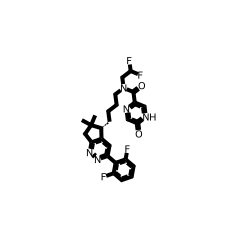 CC1(C)Cc2nnc(-c3c(F)cccc3F)cc2[C@H]1CCCCN(CC(F)F)C(=O)c1c[nH]c(=O)cn1